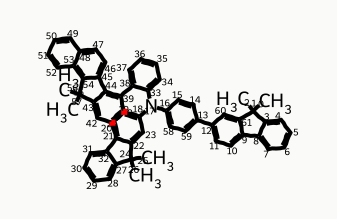 CC1(C)c2ccccc2-c2ccc(-c3ccc(N(c4ccc5c(c4)C(C)(C)c4ccccc4-5)c4ccccc4-c4cccc5c4-c4ccc6ccccc6c4C5(C)C)cc3)cc21